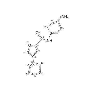 Nc1ccc(NC(=O)c2cc(-c3ccccc3)no2)cc1